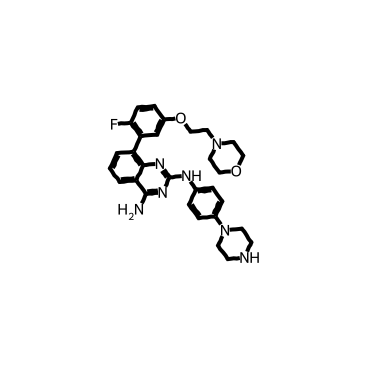 Nc1nc(Nc2ccc(N3CCNCC3)cc2)nc2c(-c3cc(OCCN4CCOCC4)ccc3F)cccc12